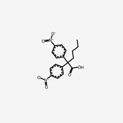 CCCCC(C(=O)O)(c1ccc([N+](=O)[O-])cc1)c1ccc([N+](=O)[O-])cc1